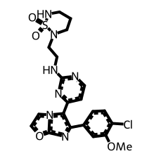 COc1cc(-c2nc3occn3c2-c2ccnc(NCCN3CCCNS3(=O)=O)n2)ccc1Cl